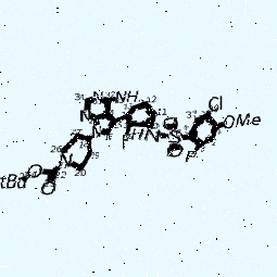 COc1cc(F)c(S(=O)(=O)Nc2cccc(-c3cn(C4CCN(C(=O)OC(C)(C)C)CC4)c4ncnc(N)c34)c2F)cc1Cl